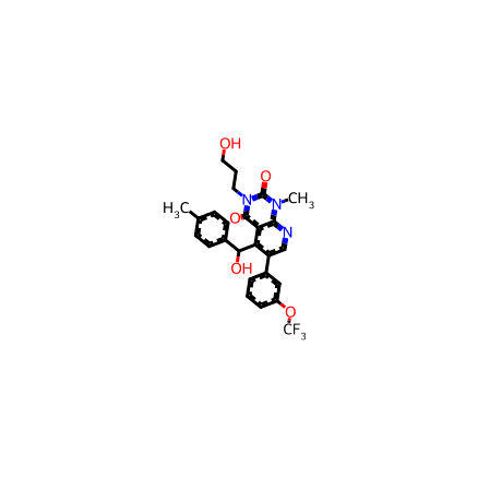 Cc1ccc(C(O)c2c(-c3cccc(OC(F)(F)F)c3)cnc3c2c(=O)n(CCCO)c(=O)n3C)cc1